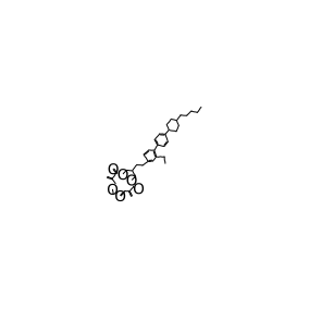 C=C(C=O)C(=O)OCC(CCc1ccc(-c2ccc(C3CCC(CCCCC)CC3)cc2)c(CC)c1)COC(=O)C(=C)COC